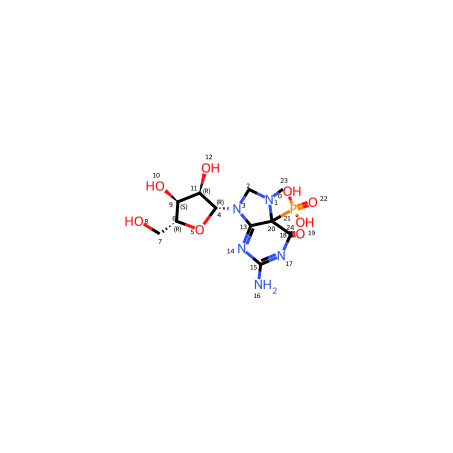 CN1CN([C@@H]2O[C@H](CO)[C@@H](O)[C@H]2O)C2=NC(N)=NC(=O)C21P(=O)(O)O